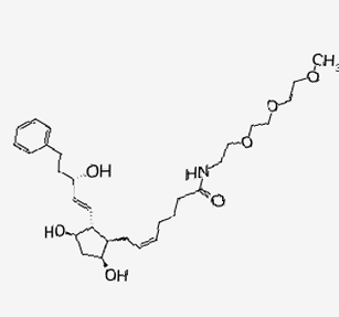 COCCOCCOCCNC(=O)CCC/C=C\C[C@@H]1[C@@H](/C=C/[C@@H](O)CCc2ccccc2)[C@H](O)C[C@@H]1O